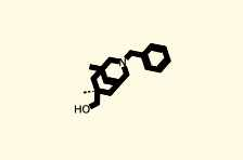 CC12C=C(CN(Cc3ccccc3)C1)C[C@@](C)(CO)C2